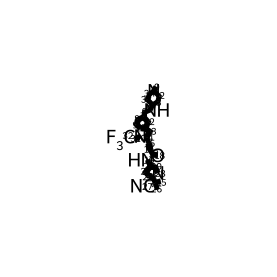 CN1CCC(NCc2ccc3c(c2)cc(C#CC(=O)Nc2ccc(C(C)(C)C#N)nc2)n3CC(F)(F)F)CC1